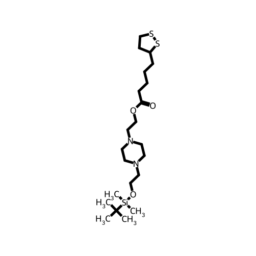 CC(C)(C)[Si](C)(C)OCCN1CCN(CCOC(=O)CCCCC2CCSS2)CC1